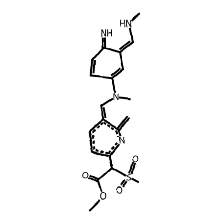 C=c1nc(C(C(=O)OC)S(C)(=O)=O)cc/c1=C/N(C)C1=C/C(=C/NC)C(=N)C=C1